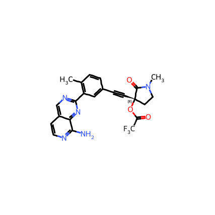 Cc1ccc(C#C[C@]2(OC(=O)C(F)(F)F)CCN(C)C2=O)cc1-c1ncc2ccnc(N)c2n1